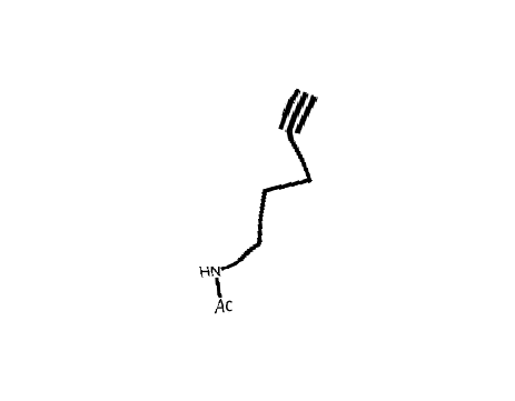 C#CCCCNC(C)=O